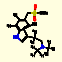 [2H]c1c(CS(=O)(=O)NC)c([2H])c2c(C([2H])([2H])CN(C([2H])([2H])[2H])C([2H])([2H])[2H])c[nH]c2c1[2H]